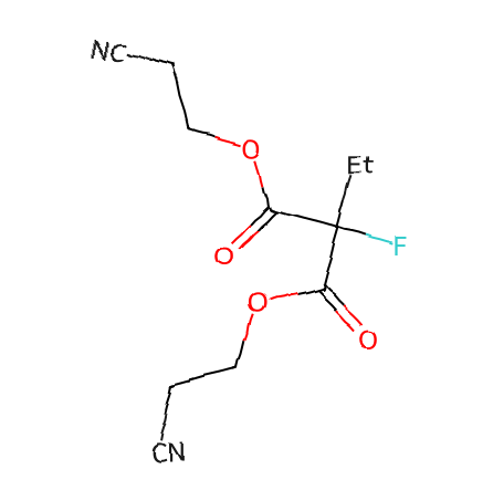 CCC(F)(C(=O)OCCC#N)C(=O)OCCC#N